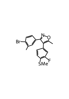 CSc1ccc(-c2c(-c3ccc(Br)c(C)c3)noc2C)cc1F